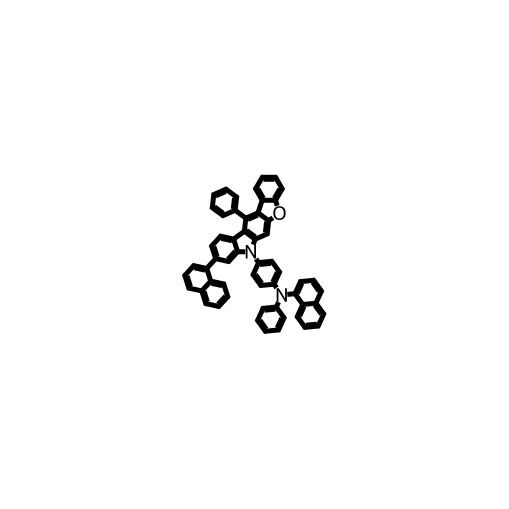 c1ccc(-c2c3c(cc4c2c2ccc(-c5cccc6ccccc56)cc2n4-c2ccc(N(c4ccccc4)c4cccc5ccccc45)cc2)oc2ccccc23)cc1